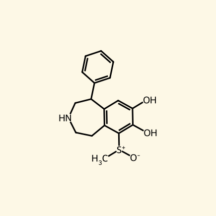 C[S+]([O-])c1c(O)c(O)cc2c1CCNCC2c1ccccc1